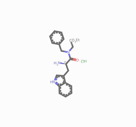 CCOC(=O)CN(Cc1ccccc1)C(=O)[C@H](N)Cc1c[nH]c2ccccc12.Cl